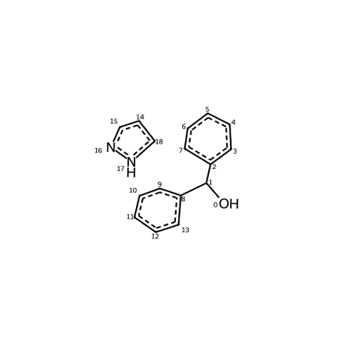 OC(c1ccccc1)c1ccccc1.c1cn[nH]c1